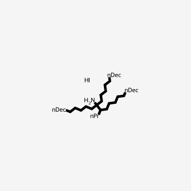 CCCCCCCCCCCCCCCC(CCC)C(N)(CCCCCCCCCCCCCCC)CCCCCCCCCCCCCCC.I